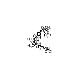 CC(C)C(C)C(=O)OCc1ccc(NC(=O)[C@H](C)NC(=O)C(NC(=O)CCCCNC(=O)CCl)C(C)C)cc1